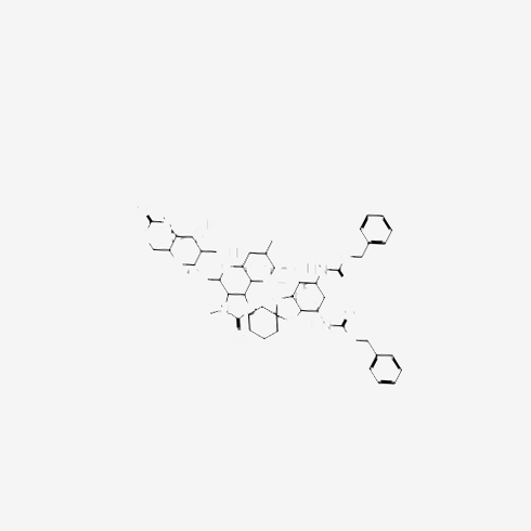 CC1C[C@@H]2OC(O[C@H]3OC4COC(=O)N[C@H]4[C@H](O)C3C)C3C(OC(=O)N3C)C2O[C@@H]1O[C@@H]1C(NC(=O)OCc2ccccc2)C[C@@H](NC(=O)OCc2ccccc2)C2OC3(CCCCC3)O[C@H]21